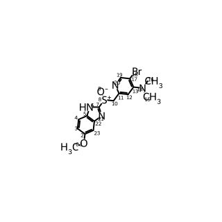 COc1ccc2[nH]c([S+]([O-])Cc3cc(N(C)C)c(Br)cn3)nc2c1